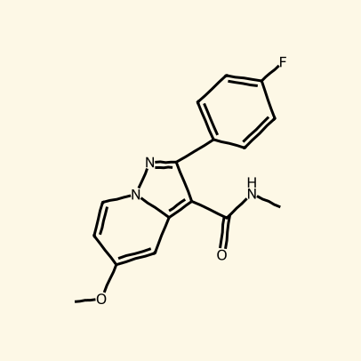 CNC(=O)c1c(-c2ccc(F)cc2)nn2ccc(OC)cc12